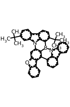 CC(C)(C)c1ccc2c3ccc(C(C)(C)C)c4c3n(c2c1)-c1cc2oc3ccccc3c2c2c1B4n1c3ccccc3c3cccc-2c31